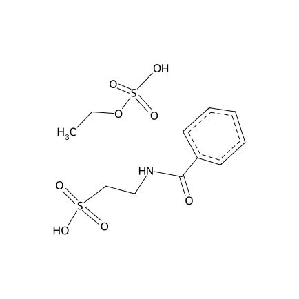 CCOS(=O)(=O)O.O=C(NCCS(=O)(=O)O)c1ccccc1